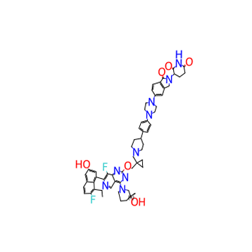 CCc1c(F)ccc2cc(O)cc(-c3ncc4c(N5CCC[C@@](C)(O)C5)nc(OCC5(CN6CCC(c7ccc(N8CCN(c9ccc%10c(c9)CN(C9CCC(=O)NC9=O)C%10=O)CC8)cc7)CC6)CC5)nc4c3F)c12